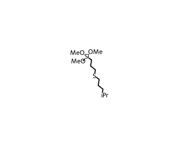 CO[Si](CCCSCCCC(C)C)(OC)OC